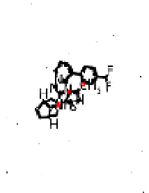 Cc1cc(N2C[C@H]3CC[C@@H](C2)C3Nc2nc3c(-c4ccc(C(F)F)cc4)cccn3n2)sn1